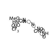 COc1cc2nn([C@H]3CC[C@H](CN4CCC(c5cccc6c5n(C)c(=O)n6C5CCC(=O)NC5=O)CC4)CC3)cc2cc1NC(=O)c1cccc(C(F)(F)F)n1